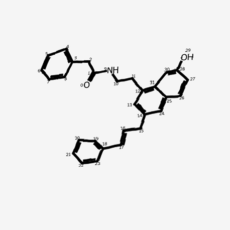 O=C(Cc1ccccc1)NCCc1cc(CC=Cc2ccccc2)cc2ccc(O)cc12